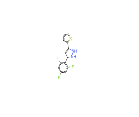 Fc1cc(F)c(C2C=C(c3cccs3)NN2)c(F)c1